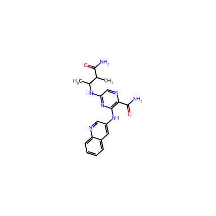 CC(Nc1cnc(C(N)=O)c(Nc2cnc3ccccc3c2)n1)C(C)C(N)=O